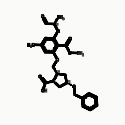 COC(=O)c1c(OC[C@H]2C[C@H](OCc3ccccc3)CN2C(=O)O)cc(C)cc1O[C@H](C)C=O